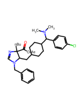 CCCCC1(C(=O)OC)N=CN(Cc2ccccc2)C1CC1CCC(C(c2ccc(Cl)cc2)N(C)C)CC1